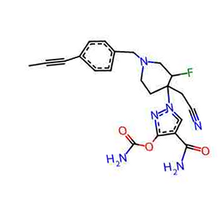 CC#Cc1ccc(CN2CCC(CC#N)(n3cc(C(N)=O)c(OC(N)=O)n3)C(F)C2)cc1